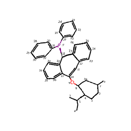 CC1CCC(C(C)C)C(OC2=Cc3ccccc3[C@H](P(c3ccccc3)c3ccccc3)c3ccccc32)C1